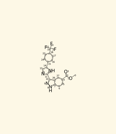 COC(=O)c1ccc2[nH]nc(-c3ncc(-c4ccc(C(F)(F)F)cc4)[nH]3)c2c1